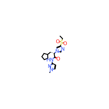 CCS(=O)(=O)c1cn([C@@H](CC2CCCC2)C(=O)Nc2ccn(C)n2)cn1